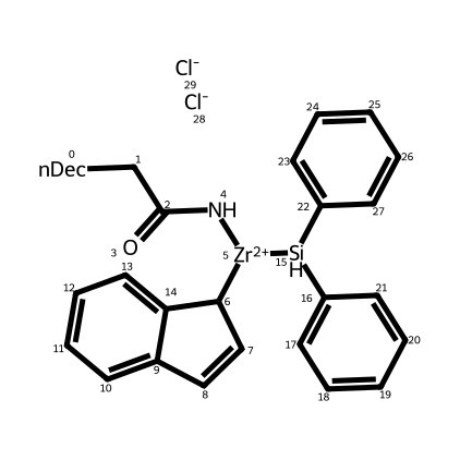 CCCCCCCCCCCC(=O)[NH][Zr+2]([CH]1C=Cc2ccccc21)[SiH](c1ccccc1)c1ccccc1.[Cl-].[Cl-]